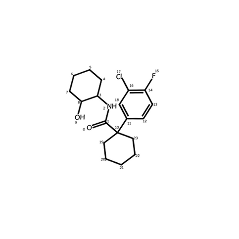 O=C(NC1CCCCC1O)C1(c2ccc(F)c(Cl)c2)C[CH]CCC1